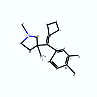 CCCC1(C(=C2CCC2)c2ccc(C)c(C)c2)CCN(C)C1